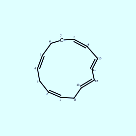 [CH]1/C=C\C/C=C\CC\C=C/C=C/C=C/1